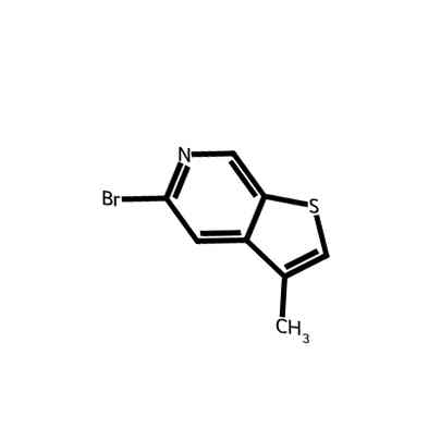 Cc1csc2cnc(Br)cc12